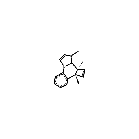 CN1C=CN2c3ccccc3[C@@]3(C)C=C[C@]3(C)C12